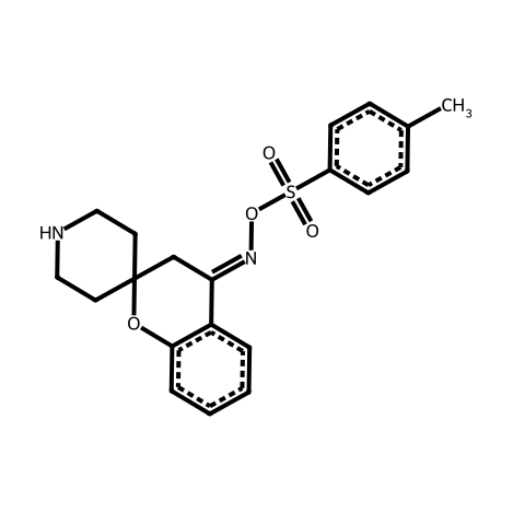 Cc1ccc(S(=O)(=O)O/N=C2\CC3(CCNCC3)Oc3ccccc32)cc1